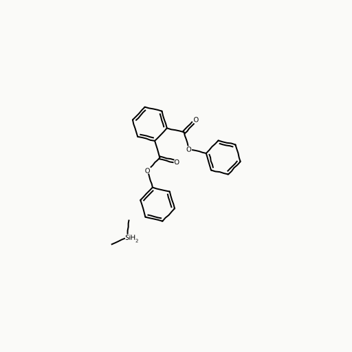 C[SiH2]C.O=C(Oc1ccccc1)c1ccccc1C(=O)Oc1ccccc1